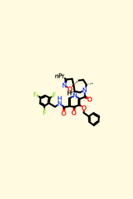 CCCC1=NO[C@@]2(CC[C@H](C)N3C[C@H]2n2cc(C(=O)NCc4c(F)cc(F)cc4F)c(=O)c(OCc4ccccc4)c2C3=O)C1